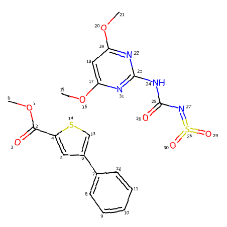 COC(=O)c1cc(-c2ccccc2)cs1.COc1cc(OC)nc(NC(=O)N=S(=O)=O)n1